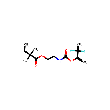 C=C(OC(=O)NCCOC(=O)C(C)(C)CC)C(C)(F)F